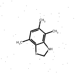 Cc1cc(C)c2c(c1C)NCS2